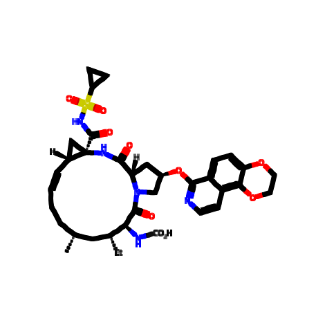 CC[C@@H]1C[C@H](C)CCC=C[C@@H]2C[C@@]2(C(=O)NS(=O)(=O)C2CC2)NC(=O)[C@@H]2C[C@@H](Oc3nccc4c5c(ccc34)OCCO5)CN2C(=O)[C@H]1NC(=O)O